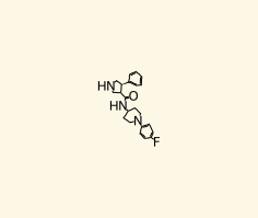 O=C(NC1CCN(c2ccc(F)cc2)CC1)C1CNC[C@H]1c1ccccc1